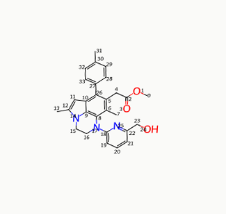 COC(=O)Cc1c(C)c2c3c(cc(C)n3CCN2c2cccc(CO)n2)c1-c1ccc(C)cc1